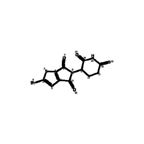 CC(C)c1cc2c(s1)C(=O)N(C1CCC(=O)NC1=O)C2=O